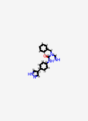 N=CN(Cc1ccccc1)C(=O)Nc1ccc(-c2cn[nH]c2)cc1